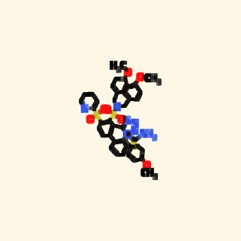 COc1ccc(CN(Cc2ccc(OC)cc2)S(=O)(=O)c2c(S(=O)(=O)c3ccccn3)ccc(-c3cccc4sc(N)nc34)c2-c2nnnn2Cc2ccc(OC)cc2)cc1